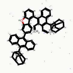 C=Cc1c(/C=C\C)c(C2C3CC4CC(C3)CC2C4)c2ccccc2c1-c1cccc2oc3cc(-c4c5ccccc5c(C5C6CC7CC(C6)CC5C7)c5ccccc45)ccc3c12